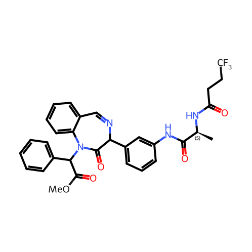 COC(=O)C(c1ccccc1)N1C(=O)C(c2cccc(NC(=O)[C@H](C)NC(=O)CCC(F)(F)F)c2)N=Cc2ccccc21